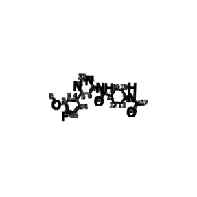 COc1cc(-c2cc(NC(=O)C3CCC(NC(C)=O)CC3)ncn2)ccc1F